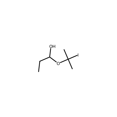 CCC(O)OC(C)(C)I